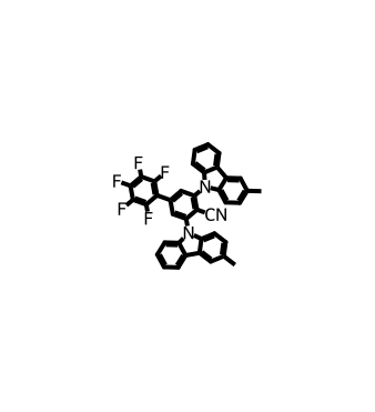 Cc1ccc2c(c1)c1ccccc1n2-c1cc(-c2c(F)c(F)c(F)c(F)c2F)cc(-n2c3ccccc3c3cc(C)ccc32)c1C#N